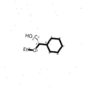 CCO[C@H](C(=O)O)C1CCCCC1